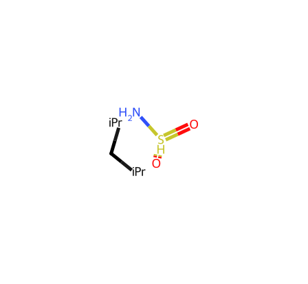 CC(C)CC(C)C.N[SH](=O)=O